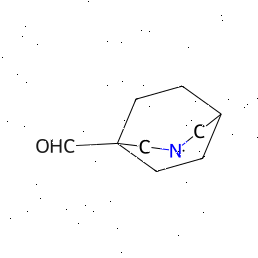 O=CC12CCC(CC1)C[N]C2